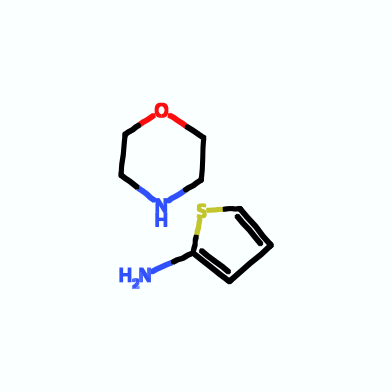 C1COCCN1.Nc1cccs1